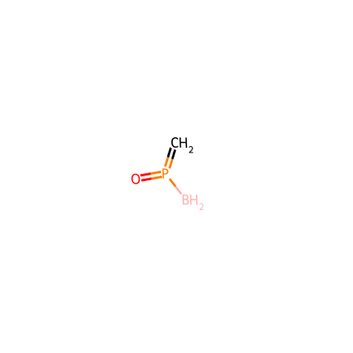 BP(=C)=O